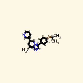 Cc1cc(-c2cccnc2)cn2c(-c3ccc(SC(C)C)cc3)cnc12